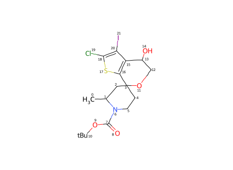 CC1CC2(CCN1C(=O)OC(C)(C)C)OCC(O)c1c2sc(Cl)c1I